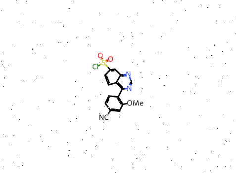 COc1cc(C#N)ccc1-c1ncnc2cc(S(=O)(=O)Cl)ccc12